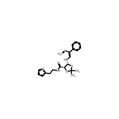 C=N/C(=C\N[C@@H]1OC(C)(C)O[C@H]1C(=O)NCCc1cccs1)c1ccccc1